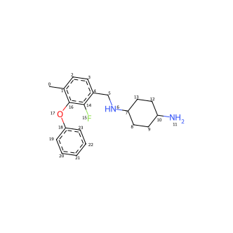 Cc1ccc(CNC2CCC(N)CC2)c(F)c1Oc1ccccc1